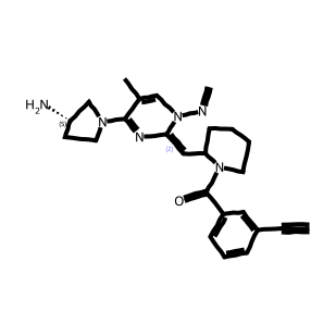 C#Cc1cccc(C(=O)N2CCCCC2/C=C2/N=C(N3CC[C@H](N)C3)C(C)=CN2N=C)c1